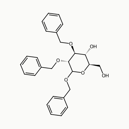 OC[C@H]1OC(OCc2ccccc2)[C@H](OCc2ccccc2)[C@@H](OCc2ccccc2)[C@@H]1O